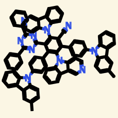 Cc1ccc2c(c1)c1ccccc1n2-c1ccc(-c2c(C#N)c(-n3c4ccccc4c4cnccc43)c(-c3nc(-c4ccccc4)nc(-c4ccccc4)n3)c(-c3ccc(-n4c5ccccc5c5cc(C)ccc54)cc3)c2-n2c3ccccc3c3cnccc32)cc1